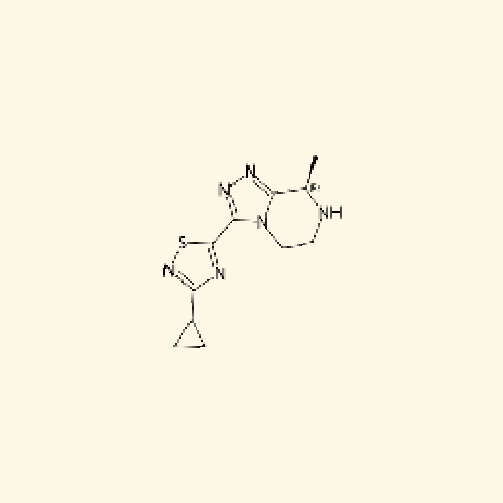 C[C@H]1NCCn2c(-c3nc(C4CC4)ns3)nnc21